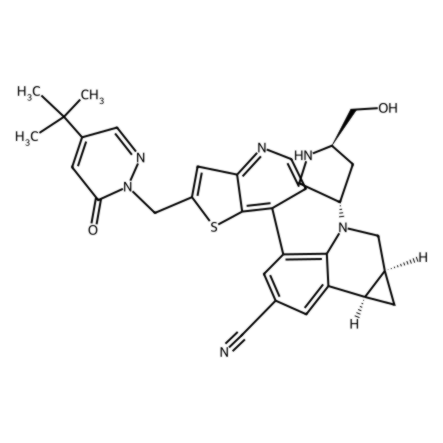 CC(C)(C)c1cnn(Cc2cc3nccc(-c4cc(C#N)cc5c4N([C@@H]4CN[C@@H](CO)C4)C[C@H]4C[C@@H]54)c3s2)c(=O)c1